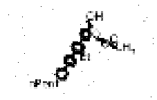 C=CC(=O)OCCOc1cc(-c2ccc(-c3ccc(C4CCC(CCCCC)CC4)cc3)c(CC)c2)ccc1CCO